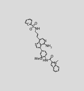 COc1cc(-c2csc3c(C=CCNS(=O)(=O)c4ccccc4)cnc(N)c23)ccc1NC(=O)c1cc2ccccc2n1C